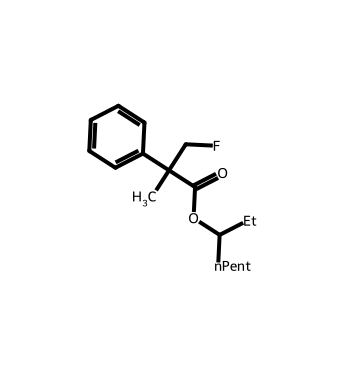 CCCCCC(CC)OC(=O)C(C)(CF)c1ccccc1